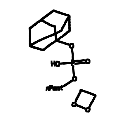 C1COO1.CCCCCOP(=O)(O)OC12CC3CC(CC(C3)C1)C2